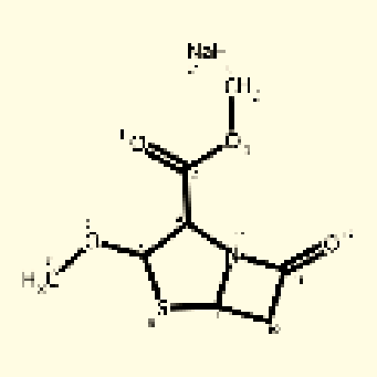 COC(=O)C1C(OC)SC2CC(=O)N21.[NaH]